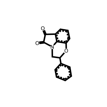 O=C1C(=O)N2CC(c3ccccc3)Oc3cccc1c32